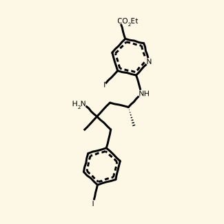 CCOC(=O)c1cnc(N[C@H](C)CC(C)(N)Cc2ccc(I)cc2)c(I)c1